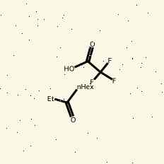 CCCCCCC(=O)CC.O=C(O)C(F)(F)F